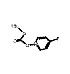 CC(C)(C)OC(=O)O[n+]1ccc(F)cc1